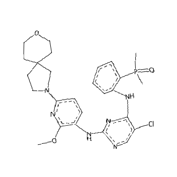 COc1nc(N2CCC3(CCOCC3)C2)ccc1Nc1ncc(Cl)c(Nc2ccccc2P(C)(C)=O)n1